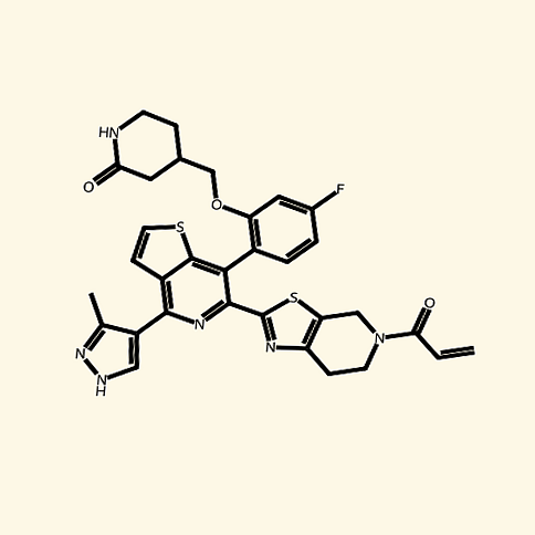 C=CC(=O)N1CCc2nc(-c3nc(-c4c[nH]nc4C)c4ccsc4c3-c3ccc(F)cc3OCC3CCNC(=O)C3)sc2C1